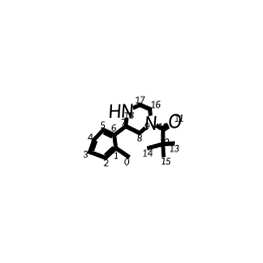 Cc1ccccc1C1CN(C(=O)C(C)(C)C)CCN1